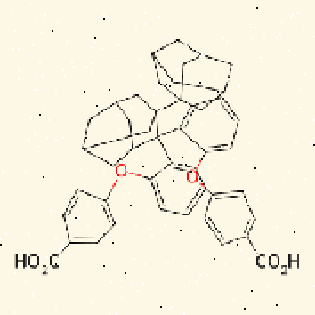 O=C(O)c1ccc(Oc2ccccc2C2(c3ccccc3Oc3ccc(C(=O)O)cc3)C3CC4CC(C3)CC2(C23CC5CC(CC(C5)C2)C3)C4)cc1